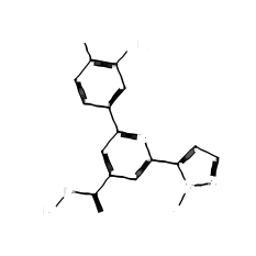 Cc1cc(-c2cc(C(=O)NC(C)(C)C)cc(-c3ccnn3C(C)(C)C)n2)ccc1F